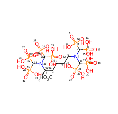 O=C(O)[C@H](CCCCN(C(P(=O)(O)O)P(=O)(O)O)C(P(=O)(O)O)P(=O)(O)O)N(C(P(=O)(O)O)P(=O)(O)O)C(P(=O)(O)O)P(=O)(O)O